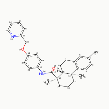 CC(C)c1ccc2c(c1)CC[C@H]1[C@](C)(C(=O)Nc3ccc(OCc4ccccn4)cc3)CCC[C@]21C